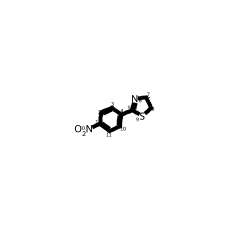 O=[N+]([O-])c1ccc(C2=N[CH]CS2)cc1